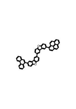 c1ccc2c(c1)cc(-c1ccc3oc4ccc(-c5ccc6oc7ccc(-c8ccc9ccc%10cccc%11ccc8c9c%10%11)cc7c6c5)cc4c3c1)c1ccccc12